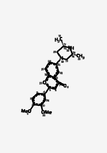 COc1ccc(-c2cc(=O)c3cc(N4C[C@@H](C)N[C@@H](C)C4)ccc3o2)cc1OC